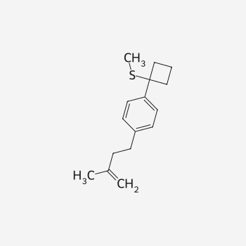 C=C(C)CCc1ccc(C2(SC)CCC2)cc1